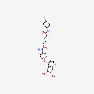 COc1cc2nccc(Oc3ccc(NC(=O)CCCCC(=O)Nc4ccc(F)cc4)cc3)c2cc1OC